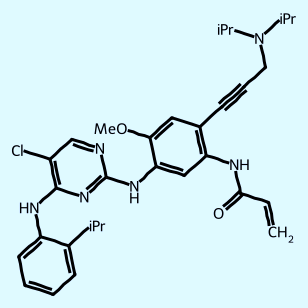 C=CC(=O)Nc1cc(Nc2ncc(Cl)c(Nc3ccccc3C(C)C)n2)c(OC)cc1C#CCN(C(C)C)C(C)C